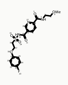 COCCNC(=O)c1ccc(C(=O)NS(=O)(=O)CCOc2ccc(F)cc2)cn1